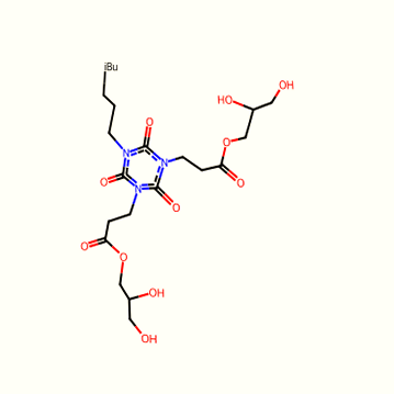 CCC(C)CCCn1c(=O)n(CCC(=O)OCC(O)CO)c(=O)n(CCC(=O)OCC(O)CO)c1=O